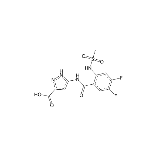 CS(=O)(=O)Nc1cc(F)c(F)cc1C(=O)Nc1cc(C(=O)O)n[nH]1